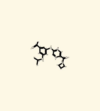 CC(=O)c1cc(Oc2cnc(C(=O)N3CCC3)cn2)cc(OC(C)C)c1